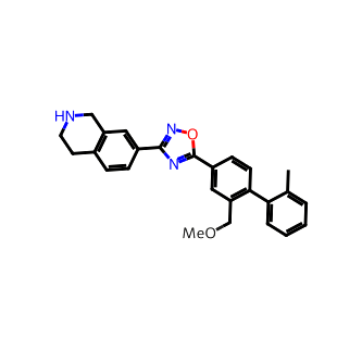 COCc1cc(-c2nc(-c3ccc4c(c3)CNCC4)no2)ccc1-c1ccccc1C